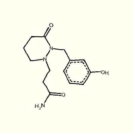 NC(=O)CCN1CCCC(=O)N1Cc1cccc(O)c1